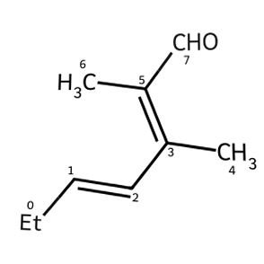 CCC=CC(C)=C(C)C=O